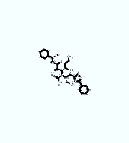 CCCC(C)[C@@H](C(=O)C(=O)N[C@H](C)c1ccccc1)N(C(=O)O)[C@@H](CC)Cc1nnc(-c2ccccc2)o1